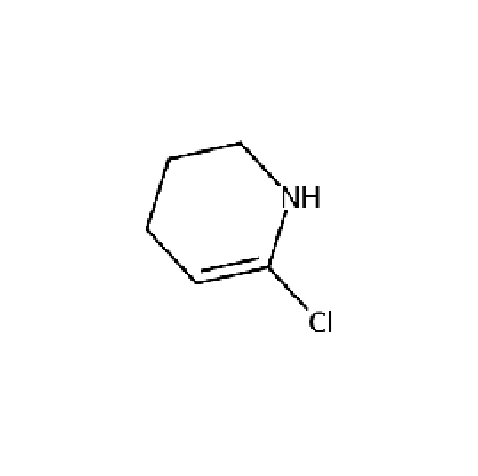 ClC1=CCCCN1